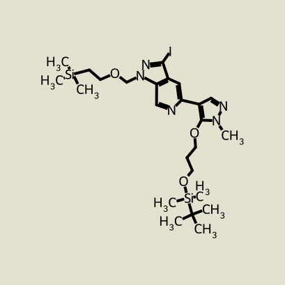 Cn1ncc(-c2cc3c(I)nn(COCC[Si](C)(C)C)c3cn2)c1OCCCO[Si](C)(C)C(C)(C)C